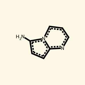 Nc1ccc2ncccn12